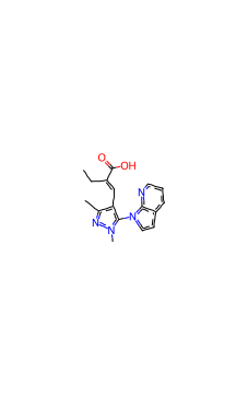 CC/C(=C\c1c(C)nn(C)c1-n1ccc2cccnc21)C(=O)O